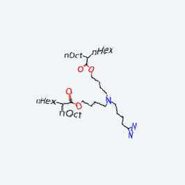 CCCCCCCCC(CCCCCC)C(=O)OCCCCN(CCCCOC(=O)C(CCCCCC)CCCCCCCC)CCCCC1N=N1